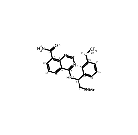 CNC[C@@H](Nc1ncnc2c(C(N)=O)cccc12)c1cccc(OC(F)(F)F)c1